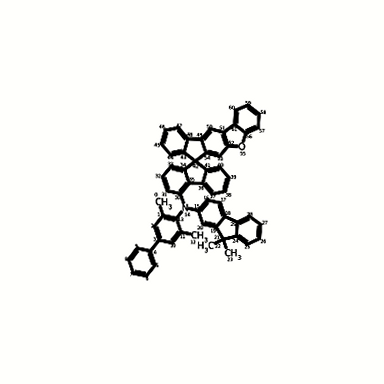 Cc1cc(-c2ccccc2)cc(C)c1N(c1ccc2c(c1)C(C)(C)c1ccccc1-2)c1cccc2c1-c1ccccc1C21c2ccccc2-c2cc3c(cc21)oc1ccccc13